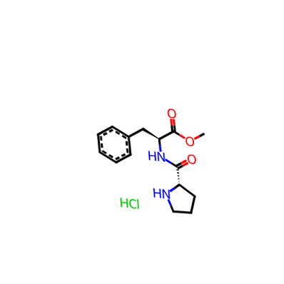 COC(=O)[C@H](Cc1ccccc1)NC(=O)[C@@H]1CCCN1.Cl